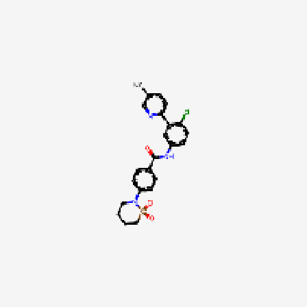 N#Cc1ccc(-c2cc(NC(=O)c3ccc(N4CCCCS4(=O)=O)cc3)ccc2Cl)nc1